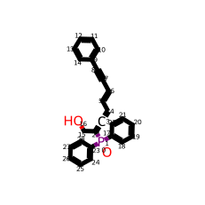 O=P(C(=C=CC=CC#Cc1ccccc1)CO)(c1ccccc1)c1ccccc1